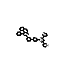 c1ccc(-c2cc(-c3cccc(-c4ccc(-c5nc(-c6cccnc6)cc(-c6cccnc6)n5)cc4)c3)nc3ccc4ccccc4c23)cc1